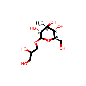 C[C@]1(O)[C@H](O)[C@@H](CO)OC(OCC(O)CO)[C@@H]1O